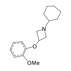 COc1ccccc1OC1CN(C2CCCCC2)C1